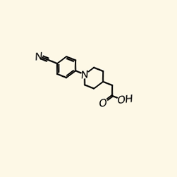 N#Cc1ccc(N2CCC(CC(=O)O)CC2)cc1